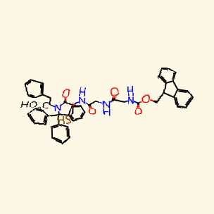 O=C(CNC(=O)OCC1c2ccccc2-c2ccccc21)NCC(=O)NC(CS)C(=O)N([C@@H](Cc1ccccc1)C(=O)O)C(c1ccccc1)(c1ccccc1)c1ccccc1